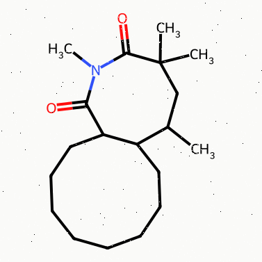 CC1CC(C)(C)C(=O)N(C)C(=O)C2CCCCCCCCC12